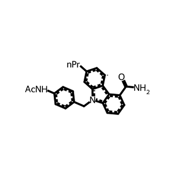 CCCc1c[c]c2c3c(C(N)=O)cccc3n(Cc3ccc(NC(C)=O)cc3)c2c1